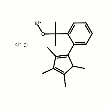 CC1=C(C)C(C)C(c2ccccc2C(C)(C)[O][Ti+2])=C1C.[Cl-].[Cl-]